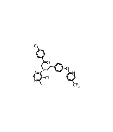 Cc1ncnc(N(CCc2ccc(Oc3ccc(C(F)(F)F)cn3)cc2)CC(=O)c2ccc(Cl)cc2)c1Cl